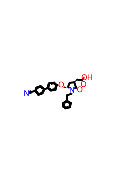 N#Cc1ccc(-c2ccc(OC[C@@H]3C[C@@H](CC(=O)O)C(=O)N3CCc3ccccc3)cc2)cc1